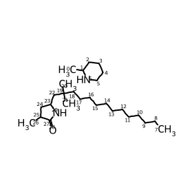 CC1CCCCN1.CCCCCCCCCCCCC(C)(C)CC1CC(C)C(=O)N1